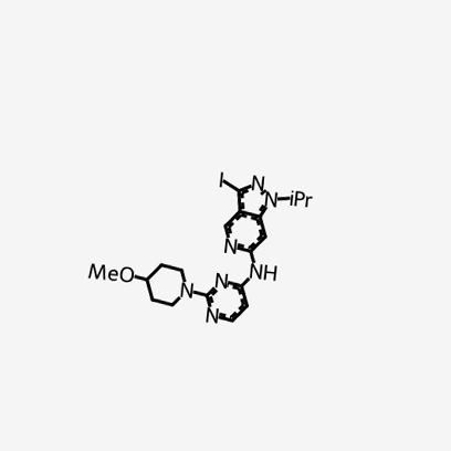 COC1CCN(c2nccc(Nc3cc4c(cn3)c(I)nn4C(C)C)n2)CC1